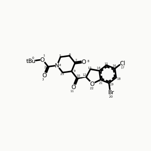 CC(C)(C)OC(=O)N1CCC(=O)C(C(=O)[C@H]2Cc3cc(Cl)cc(Br)c3O2)C1